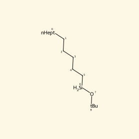 CCCCCCCCCCCC[SiH2]OC(C)(C)C